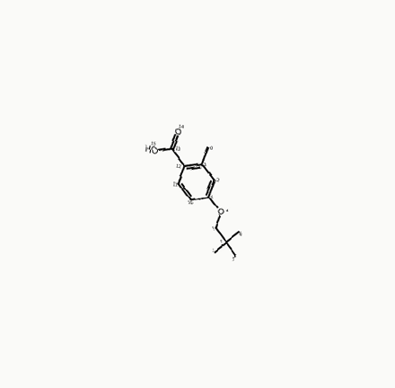 Cc1cc(OCC(C)(C)C)ccc1C(=O)O